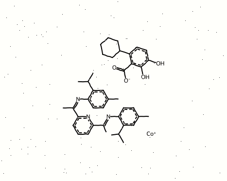 CC(=Nc1ccc(C)cc1C(C)C)c1cccc(C(C)=Nc2ccc(C)cc2C(C)C)n1.O=C([O-])c1c(C2CCCCC2)ccc(O)c1O.[Co+]